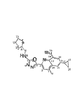 Cc1cc(-c2nnc(NCC3SCCS3)o2)nc2c(C(C)(C)C)cc(C3CC3)cc12